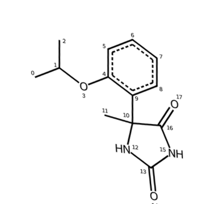 CC(C)Oc1ccccc1C1(C)NC(=O)NC1=O